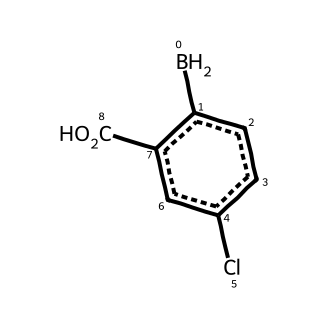 Bc1ccc(Cl)cc1C(=O)O